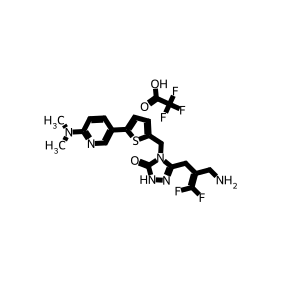 CN(C)c1ccc(-c2ccc(Cn3c(CC(CN)=C(F)F)n[nH]c3=O)s2)cn1.O=C(O)C(F)(F)F